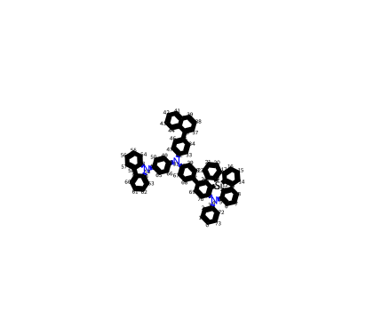 c1ccc(N2c3ccccc3[Si](c3ccccc3)(c3ccccc3)c3cc(-c4ccc(N(c5ccc(-c6cccc7ccccc67)cc5)c5ccc(-n6c7ccccc7c7ccccc76)cc5)cc4)ccc32)cc1